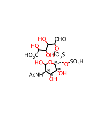 CC(=O)N[C@H]1C(O)O[C@H](COS(=O)(=O)O)[C@H](O)[C@@H]1O.O=CC(OS(=O)(=O)O)C(O)C(O)C(O)C(=O)O